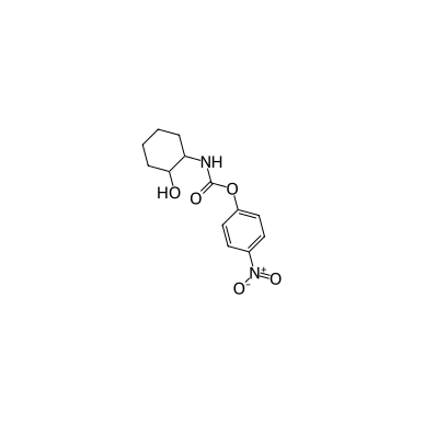 O=C(NC1CCCCC1O)Oc1ccc([N+](=O)[O-])cc1